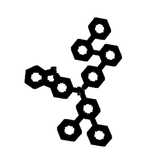 c1ccc(-c2ccc(N(c3ccc(-c4ccccc4-c4ccccc4-c4ccccc4)cc3)c3ccc4c(c3)sc3ccccc34)cc2-c2ccccc2)cc1